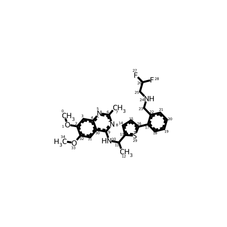 COc1cc2nc(C)nc(NC(C)c3ccc(-c4ccccc4CNCC(F)F)s3)c2cc1OC